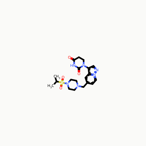 CC(C)S(=O)(=O)N1CCN(Cc2ccn3ncc(N4CCC(=O)NC4=O)c3c2)CC1